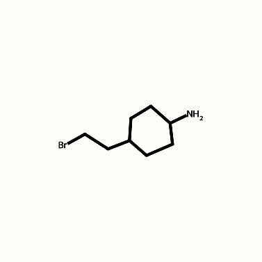 NC1CCC(CCBr)CC1